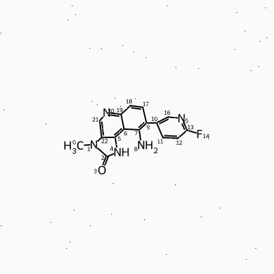 Cn1c(=O)[nH]c2c3c(N)c(-c4ccc(F)nc4)ccc3ncc21